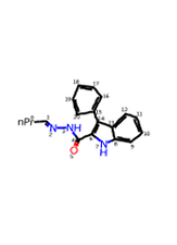 CCCC=NNC(=O)c1[nH]c2ccccc2c1-c1ccccc1